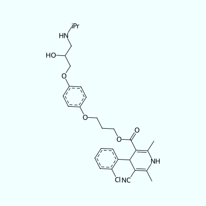 CC1=C(C#N)C(c2ccccc2Cl)C(C(=O)OCCCOc2ccc(OCC(O)CNC(C)C)cc2)=C(C)N1